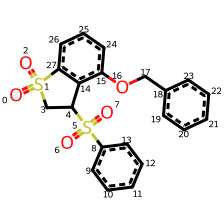 O=S1(=O)CC(S(=O)(=O)c2ccccc2)c2c(OCc3ccccc3)cccc21